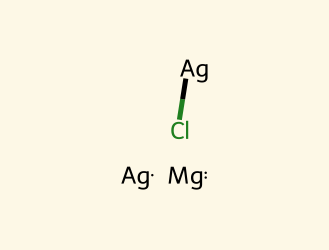 [Ag].[Cl][Ag].[Mg]